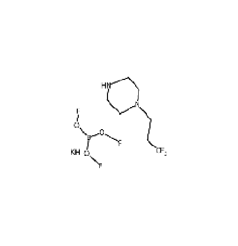 FC(F)(F)CCN1CCNCC1.FOB(OF)OF.[KH]